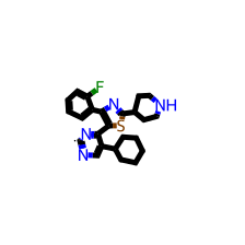 Fc1ccccc1-c1nc(C2CCNCC2)sc1-c1n[c]ncc1C1CCCCC1